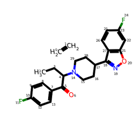 C=C.CCC(C(=O)c1ccc(F)cc1)N1CCC(c2noc3cc(F)ccc23)CC1